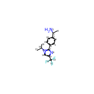 CC(N)c1ccc(-c2nc(C(F)(F)F)cn2C(C)C)cc1